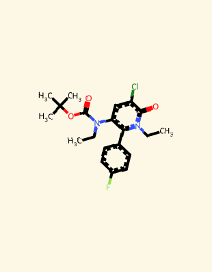 CCN(C(=O)OC(C)(C)C)c1cc(Cl)c(=O)n(CC)c1-c1ccc(F)cc1